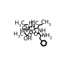 CC[C@H](C)[C@H](NC(=O)[C@@H](N)Cc1ccccc1)C(=O)N[C@@H](CC(C)C)C(=O)N[C@@H](C)C(=O)O